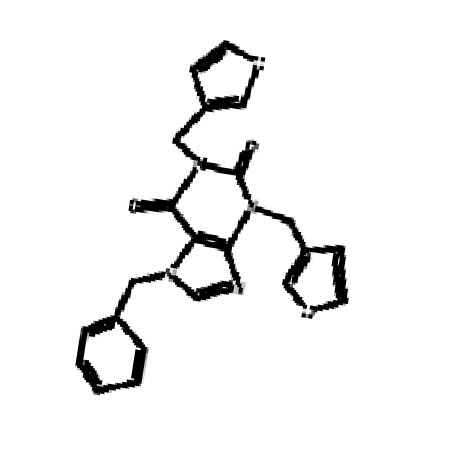 O=c1c2c(ncn2Cc2ccccc2)n(Cc2ccoc2)c(=O)n1Cc1ccoc1